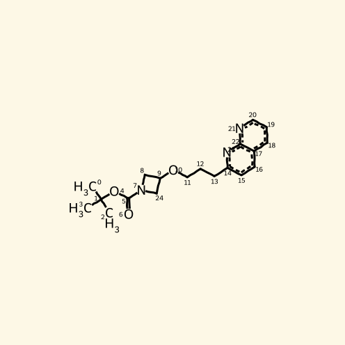 CC(C)(C)OC(=O)N1CC(OCCCc2ccc3cccnc3n2)C1